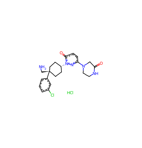 Cl.NC[C@]1(c2cccc(Cl)c2)CC[C@@H](n2nc(N3CCNC(=O)C3)ccc2=O)CC1